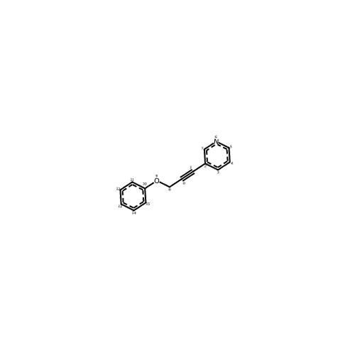 C(#Cc1cccnc1)COc1ccccc1